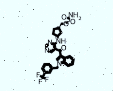 NS(=O)(=O)OC[C@@H]1CC[C@H](Nc2ncncc2C(=O)c2cn(Cc3cccc(C(F)(F)F)c3)c3ccccc23)C1